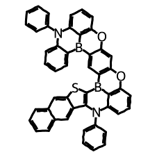 c1ccc(N2c3ccccc3B3c4cc5c(cc4Oc4cccc2c43)Oc2cccc3c2B5c2sc4cc5ccccc5cc4c2N3c2ccccc2)cc1